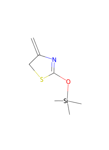 C=C1CSC(O[Si](C)(C)C)=N1